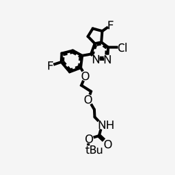 CC(C)(C)OC(=O)NCCOCCOc1cc(F)ccc1-c1nnc(Cl)c2c1CCC2F